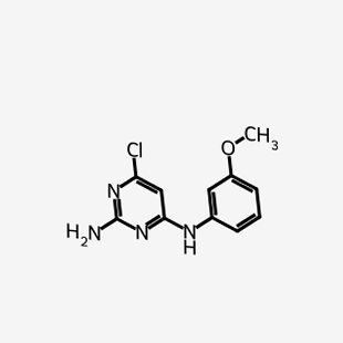 COc1cccc(Nc2cc(Cl)nc(N)n2)c1